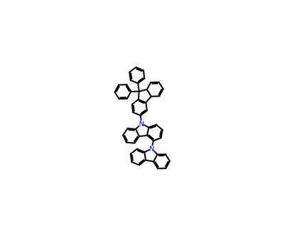 C1=CC2c3cc(-n4c5ccccc5c5c(-n6c7ccccc7c7ccccc76)cccc54)ccc3C(c3ccccc3)(c3ccccc3)C2C=C1